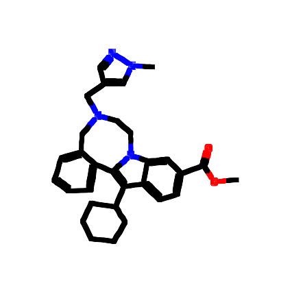 COC(=O)c1ccc2c(C3CCCCC3)c3n(c2c1)CCN(Cc1cnn(C)c1)Cc1ccccc1-3